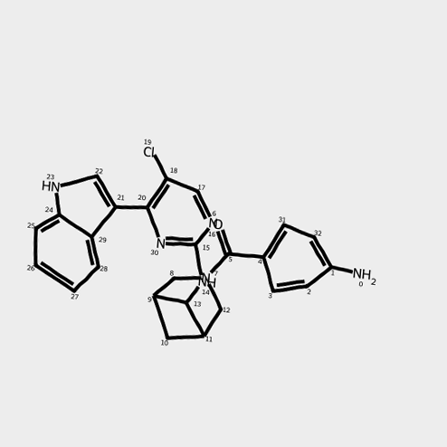 Nc1ccc(C(=O)N2CC3CC(C2)C3Nc2ncc(Cl)c(-c3c[nH]c4ccccc34)n2)cc1